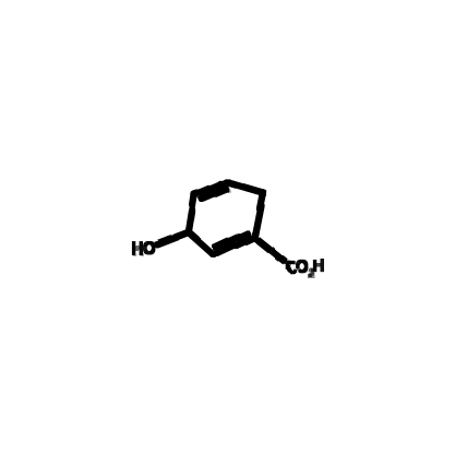 O=C(O)C1=CC(O)C=CC1